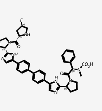 CN(C(=O)O)[C@@H](C(=O)N1CCC[C@H]1c1ncc(-c2ccc(-c3ccc(-c4cnc([C@@H]5CCCN5C(=O)[C@@H]5C[C@@H](F)CN5)[nH]4)cc3)cc2)[nH]1)c1ccccc1